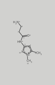 Cc1cc(NC(=O)CCN)nn1C